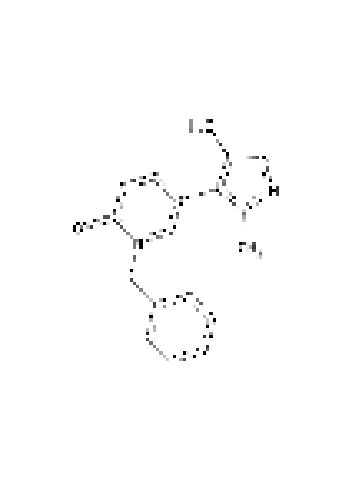 Cc1nsc(C)c1-c1ccc(=O)n(Cc2ccccc2)c1